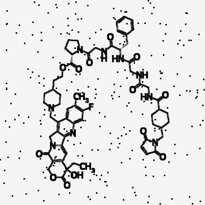 CCC1(O)C(=O)OCc2c1cc1n(c2=O)Cc2c-1nc1cc(F)c(C)cc1c2CN1CCC(CCOC(=O)[C@@H]2CCCN2C(=O)CNC(=O)[C@H](Cc2ccccc2)NC(=O)CNC(=O)CNC(=O)C2CCC(CN3C(=O)C=CC3=O)CC2)CC1